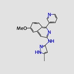 COc1ccc2c(-c3cccnc3)nc(Nc3cc(C)[nH]n3)cc2c1